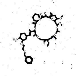 CCC1/C=C(\C)CC(C)CC(OC)C2OC(O)(C(=O)C(=O)N3CCCCC3C(=O)OC(C(C)=CC3CCC(N)C(OCCOCc4ccccc4)C3)C(C)CCC1=O)C(C)CC2OC